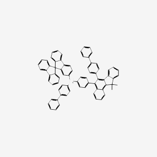 CC1(C)c2ccccc2-c2c(-c3ccc(-c4ccccc4)cc3)c(-c3ccc(N(c4ccc(-c5ccccc5)cc4)c4ccc5c(c4)C4(c6ccccc6-c6ccccc64)c4ccccc4-5)cc3)c3ccccc3c21